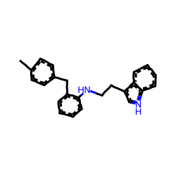 Cc1ccc(Cc2ccccc2NCCc2c[nH]c3ccccc23)cc1